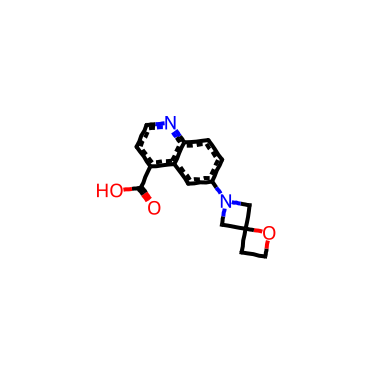 O=C(O)c1ccnc2ccc(N3CC4(CCO4)C3)cc12